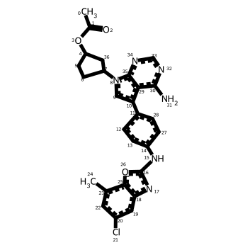 CC(=O)OC1CCC(n2cc(-c3ccc(Nc4nc5cc(Cl)cc(C)c5o4)cc3)c3c(N)ncnc32)C1